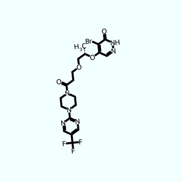 C[C@@H](COCCC(=O)N1CCN(c2ncc(C(F)(F)F)cn2)CC1)Oc1cn[nH]c(=O)c1Br